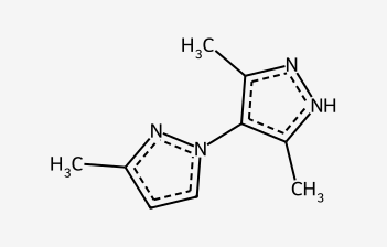 Cc1ccn(-c2c(C)n[nH]c2C)n1